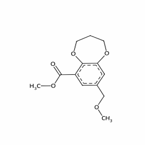 COCc1cc2c(c(C(=O)OC)c1)OCCCO2